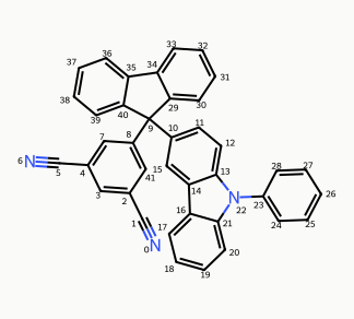 N#Cc1cc(C#N)cc(C2(c3ccc4c(c3)c3ccccc3n4-c3ccccc3)c3ccccc3-c3ccccc32)c1